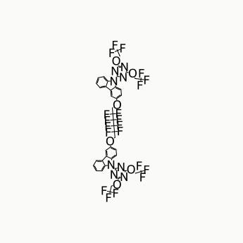 FC(F)(F)COc1nc(OCC(F)(F)F)nc(-n2c3ccccc3c3cc(OCC(F)(F)C(F)(F)C(F)(F)C(F)(F)COc4ccc5c(c4)c4ccccc4n5-c4nc(OCC(F)(F)F)nc(OCC(F)(F)F)n4)ccc32)n1